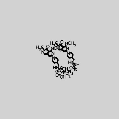 COc1nc(N2CCC(CNN[SH](=O)=O)CC2)cc2cnn(C)c(=O)c12.COc1nc(N2CCC(CNS(=O)(=O)N(C(=O)O)C(C)(C)C)CC2)cc2cnn(C)c(=O)c12